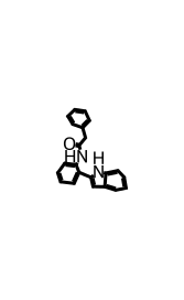 O=C(Cc1ccccc1)Nc1ccccc1-c1cc2ccccc2[nH]1